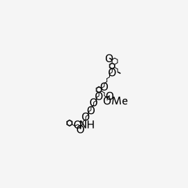 C=CCc1c(OCCCCCOc2cccc(OCCOCCOCCOCCNC(=O)OCc3ccccc3)c2CCC(=O)OC)ccc2c1CCCC2=O